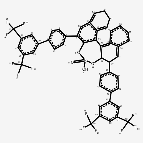 O=P1(O)Oc2c(-c3ccc(-c4cc(C(F)(F)F)cc(C(F)(F)F)c4)cc3)cc3c(c2C2=c4ccccc4=CC(c4ccc(-c5cc(C(F)(F)F)cc(C(F)(F)F)c5)cc4)C2O1)=CCCC=3